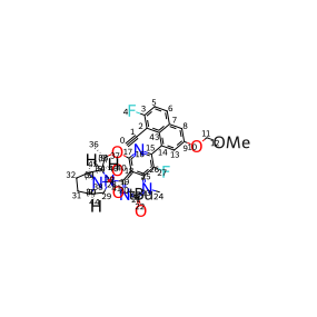 C#Cc1c(F)ccc2cc(OCOC)cc(-c3nc4c5c(nc(=O)n(C)c5c3F)N3C[C@H]5CC[C@@H]([C@H]3[C@H](C)O4)N5C(=O)OC(C)(C)C)c12